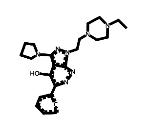 CCN1CCN(CCn2nc(N3CCCC3)c3c(O)c(-c4ccccc4)nnc32)CC1